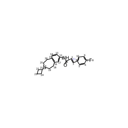 O=C(/C=C/c1ccc(F)cc1)Nc1ccc2c(c1)CCN(C1CCC1)CC2